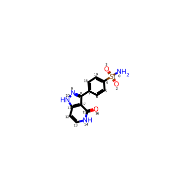 NS(=O)(=O)c1ccc(-c2n[nH]c3cc[nH]c(=O)c23)cc1